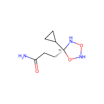 NC(=O)CC[C@]1(C2CC2)NONO1